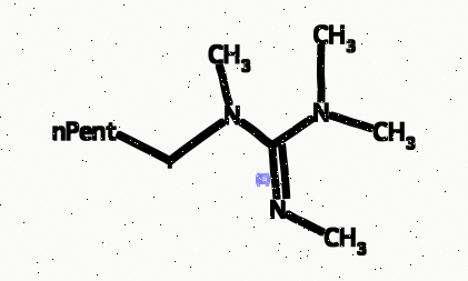 CCCCC[CH]N(C)/C(=N/C)N(C)C